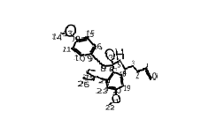 C=CCCCCC(O)(Cc1ccc(OC)cc1)c1ccc(OC)cc1SC